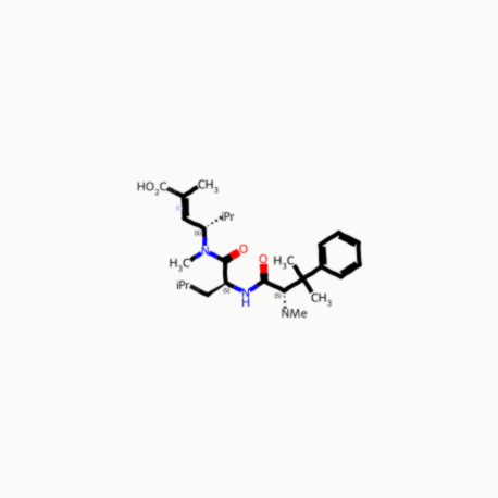 CN[C@H](C(=O)N[C@@H](CC(C)C)C(=O)N(C)[C@H](/C=C(\C)C(=O)O)C(C)C)C(C)(C)c1ccccc1